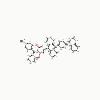 CC(C)(C)c1ccc2c(c1)Oc1cc(-c3c4ccccc4c(-c4ccc(-c5cccc6ccccc56)cc4)c4ccccc34)cc3c1B2c1ccccc1O3